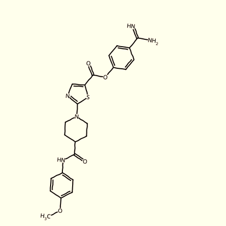 COc1ccc(NC(=O)C2CCN(c3ncc(C(=O)Oc4ccc(C(=N)N)cc4)s3)CC2)cc1